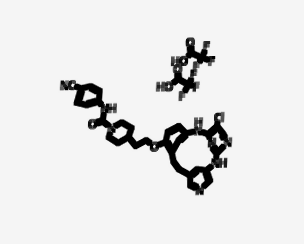 N#Cc1ccc(NC(=O)N2CCC(CCOc3ccc4cc3CCc3cncc(c3)Nc3ncc(Cl)c(n3)N4)CC2)cc1.O=C(O)C(F)(F)F.O=C(O)C(F)(F)F